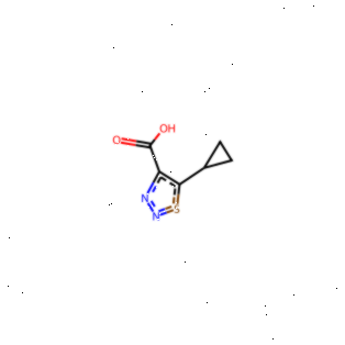 O=C(O)c1nnsc1C1CC1